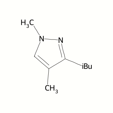 CCC(C)c1nn(C)cc1C